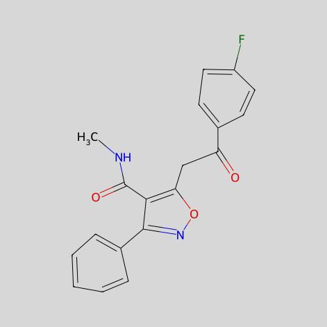 CNC(=O)c1c(-c2ccccc2)noc1CC(=O)c1ccc(F)cc1